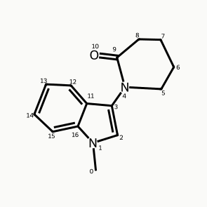 Cn1cc(N2CCCCC2=O)c2ccccc21